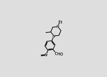 C=Nc1ccc(N2CCN(CC)CC2C)cc1C=O